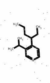 CCCC(CC)c1ccncc1C(C)C